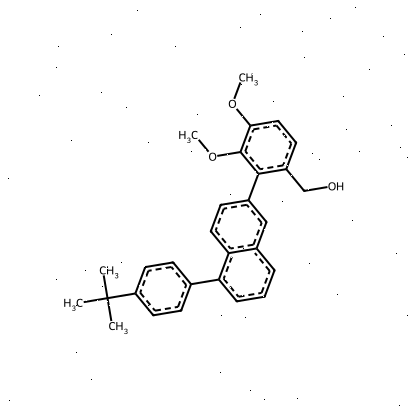 COc1ccc(CO)c(-c2ccc3c(-c4ccc(C(C)(C)C)cc4)cccc3c2)c1OC